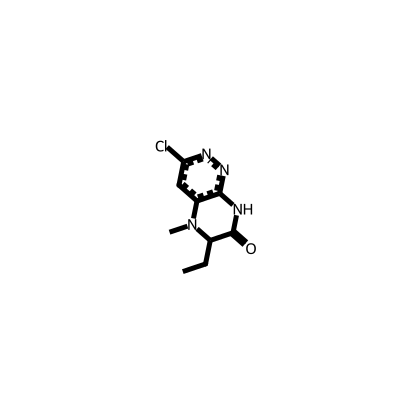 CCC1C(=O)Nc2nnc(Cl)cc2N1C